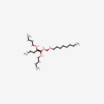 CCCCCCCCOCOC(OCCCC)=C(CCC)OCCCC